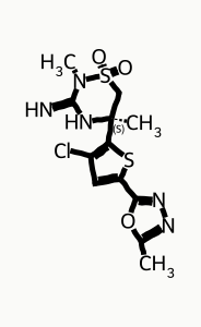 Cc1nnc(-c2cc(Cl)c([C@]3(C)CS(=O)(=O)N(C)C(=N)N3)s2)o1